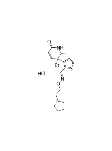 CCC1(c2ccsc2C=NOCCN2CCCC2)C=CC(=O)NC1C.Cl